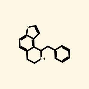 c1ccc(CC2NCCc3ccc4sccc4c32)cc1